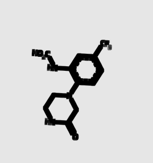 O=C(O)Nc1cc(C(F)(F)F)ccc1N1CCNC(=O)C1